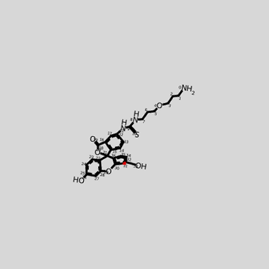 NCCCOCCCNC(=S)Nc1ccc2c(c1)C(=O)OC21c2ccc(O)cc2Oc2cc(O)ccc21